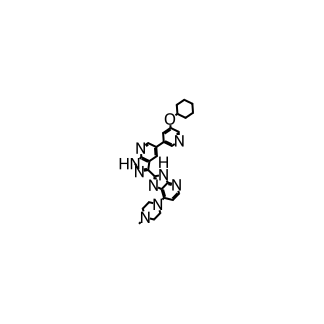 CN1CCN(c2ccnc3[nH]c(-c4n[nH]c5ncc(-c6cncc(OC7CCCCC7)c6)cc45)nc23)CC1